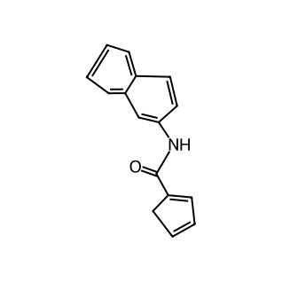 O=C(Nc1ccc2ccccc2c1)C1=CC=CC1